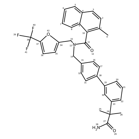 Cc1ccc2ccccc2c1C(=O)N(Cc1ccc(-c2cccc(C(C)(C)C(N)=O)c2)cc1)Cc1ccc(C(F)(F)F)o1